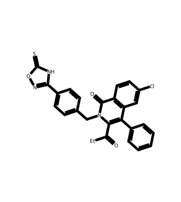 CCC(=O)c1c(-c2ccccc2)c2cc(Cl)ccc2c(=O)n1Cc1ccc(-c2noc(=S)[nH]2)cc1